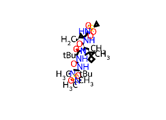 C=C[C@@H]1C[C@]1(NC(=O)[C@@H]1C[C@@]2(CN1C(=O)[C@@H](NC(=O)N[C@H](CN(C)S(=O)(=O)N(C)C)C(C)(C)C)C(C)(C)C)C(C)(C)C21CCC1)C(=O)NS(=O)(=O)C1CC1